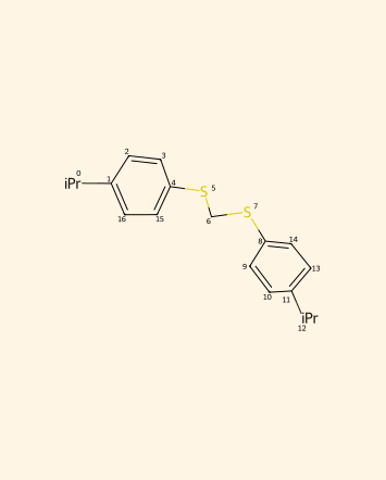 CC(C)c1ccc(SCSc2ccc(C(C)C)cc2)cc1